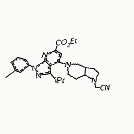 CCOC(=O)c1cc(N2CCC3C(CCN3CC#N)C2)c2c(C(C)C)nn(-c3cccc(C)c3)c2n1